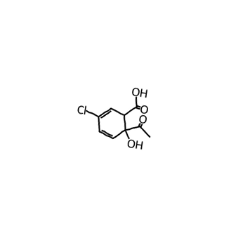 CC(=O)C1(O)C=CC(Cl)=CC1C(=O)O